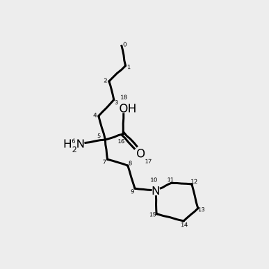 CCCCCC(N)(CCCN1CCCCC1)C(=O)O